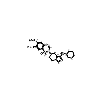 COc1cc2c(cc1OC)S(=O)(=O)N(N1CCn3cnc(NC4CCCCC4)c3C1)C=N2